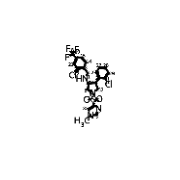 Cn1cnc(S(=O)(=O)N2CC(NCc3ccc(C(F)(F)F)cc3Cl)C(c3ccccc3Cl)C2)c1